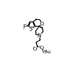 CC(C)(C)OC(=O)CCN1CCC2(CC1)OCCc1cc(F)sc12